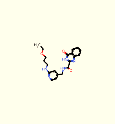 CCOCCCNc1cc(CNC(=O)c2nc3ccccc3c(=O)[nH]2)ccn1